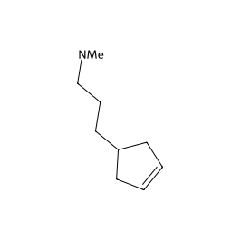 CNCCCC1CC=CC1